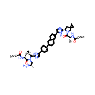 C=C=C(c1ncc(-c2ccc(-c3ccc4cc(-c5cnc([C@@H]6CC7(CC7)CN6C(=O)[C@@H](NC(=O)OC)C(C)C)[nH]5)ccc4c3)cc2)[nH]1)N(C[C@H](C)N)C(=O)[C@@H](NC(=O)OC)C(C)C